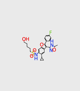 CC1NC(c2c(-c3ccc(F)cc3)oc3cc(NS(=O)(=O)CCCCCO)c(C4CC4)cc23)=NO1